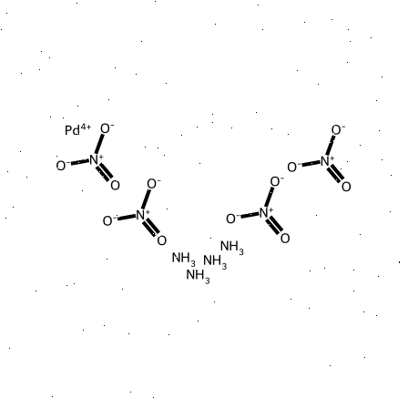 N.N.N.N.O=[N+]([O-])[O-].O=[N+]([O-])[O-].O=[N+]([O-])[O-].O=[N+]([O-])[O-].[Pd+4]